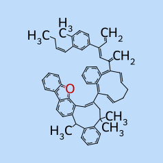 C=C/C(=C\C(=C)C1=c2/cccc/c2=C(\C2=C/c3c(ccc4c3oc3ccccc34)C(C)c3ccccc3C(C)(C)C2)/C=C/CC/C=C/1)c1ccc(C)c(/C=C\CC)c1